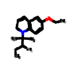 CCOc1ccc2c(c1)C=CCN2C(C)(C)C(C)CC